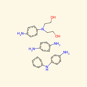 Nc1ccc(N(CCO)CCO)cc1.Nc1ccc(N)cc1.Nc1ccc(Nc2ccccc2)cc1